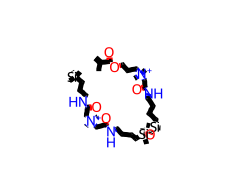 C=C(C)C(=O)OCCC[N+](C)(C)CC(=O)NCCCC[Si](C)(C)O[Si](C)(C)CCCCNC(=O)C[N+](C)(C)CC(=O)NCCC[Si](C)(C)C